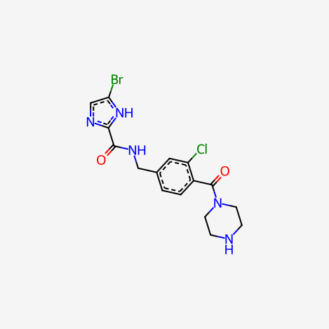 O=C(NCc1ccc(C(=O)N2CCNCC2)c(Cl)c1)c1ncc(Br)[nH]1